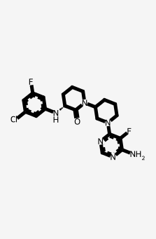 Nc1ncnc(N2CCCC(N3CCC[C@@H](Nc4cc(F)cc(Cl)c4)C3=O)C2)c1F